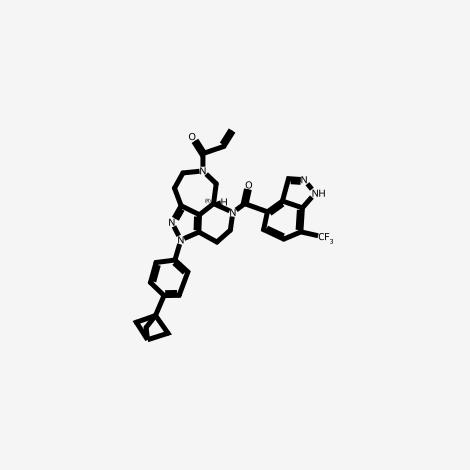 C=CC(=O)N1CCc2nn(-c3ccc(C45CC(C4)C5)cc3)c3c2[C@H](C1)N(C(=O)c1ccc(C(F)(F)F)c2[nH]ncc12)CC3